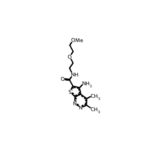 COCCOCCNC(=O)c1sc2nnc(C)c(C)c2c1N